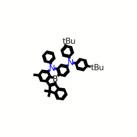 Cc1cc2c3c(c1)N(c1ccccc1)c1cc(N(c4ccc(C(C)(C)C)cc4)c4ccc(C(C)(C)C)cc4)ccc1B3C1=C2C(C)(C)c2ccccc21